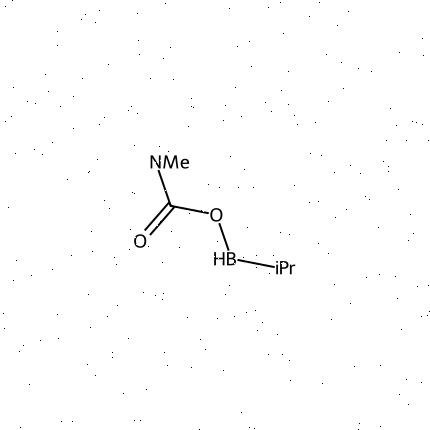 CNC(=O)OBC(C)C